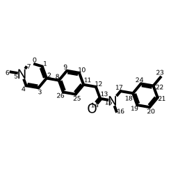 C/C=C(\C=C/N(C)C)c1ccc(CC(=O)N(C)Cc2cccc(C)c2)cc1